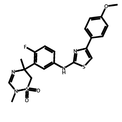 COc1ccc(-c2csc(Nc3ccc(F)c(C4(C)CS(=O)(=O)N(C)C=N4)c3)n2)cc1